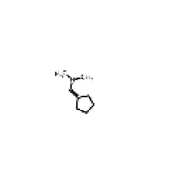 CN(C)C=C1CCCC1